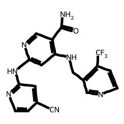 N#Cc1ccnc(Nc2cc(NCc3cnccc3C(F)(F)F)c(C(N)=O)cn2)c1